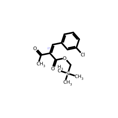 CC(=O)/C(=C/c1cccc(Cl)c1)C(=O)OC[Si](C)(C)C